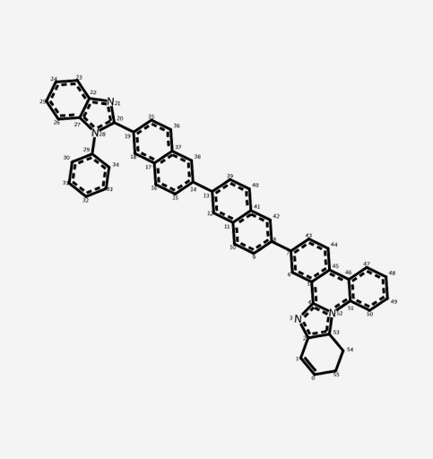 C1=Cc2nc3c4cc(-c5ccc6cc(-c7ccc8cc(-c9nc%10ccccc%10n9-c9ccccc9)ccc8c7)ccc6c5)ccc4c4ccccc4n3c2CC1